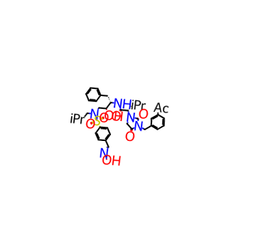 CC(=O)c1cccc(CN2C(=O)CN([C@H](C(=O)N[C@@H](Cc3ccccc3)[C@H](O)CN(CC(C)C)S(=O)(=O)c3ccc(/C=N/O)cc3)C(C)C)C2=O)c1